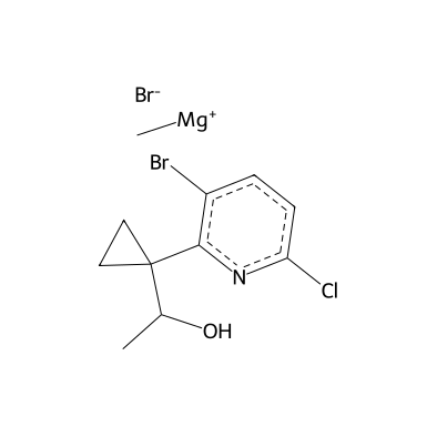 CC(O)C1(c2nc(Cl)ccc2Br)CC1.[Br-].[CH3][Mg+]